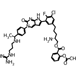 CC(=O)Oc1ccccc1C(=O)OC[C@H](N)CCCc1cc(Cl)c(F)c(-c2cc3cn(-c4ccc([C@H](C)NCCCNC(=N)N)cc4)c(=O)nc3[nH]2)c1